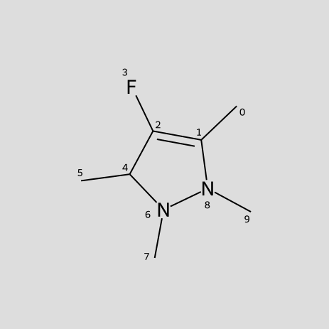 CC1=C(F)C(C)N(C)N1C